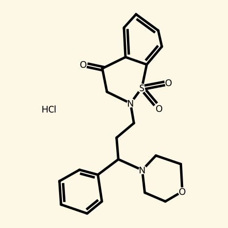 Cl.O=C1CN(CCC(c2ccccc2)N2CCOCC2)S(=O)(=O)c2ccccc21